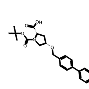 CC(C)(C)OC(=O)N1C[C@@H](OCc2ccc(-c3ccccc3)cc2)C[C@H]1C(=O)O